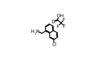 NCc1cccc2ccc(Cl)cc12.O=C(O)C(F)(F)F